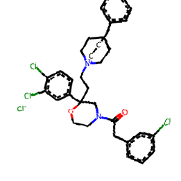 O=C(Cc1cccc(Cl)c1)N1CCOC(CC[N+]23CCC(c4ccccc4)(CC2)CC3)(c2ccc(Cl)c(Cl)c2)C1.[Cl-]